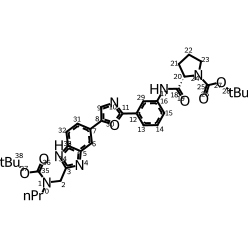 CCCN(Cc1nc2cc(-c3cnc(-c4cccc(NC(=O)[C@@H]5CCCN5C(=O)OC(C)(C)C)c4)o3)ccc2[nH]1)C(=O)OC(C)(C)C